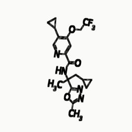 Cc1nnc(C(C)(CC2CC2)NC(=O)c2cc(OCC(F)(F)F)c(C3CC3)cn2)o1